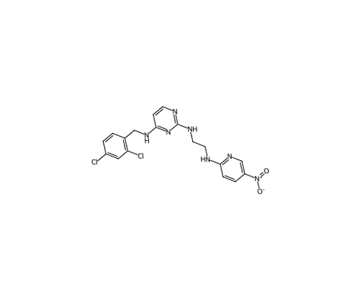 O=[N+]([O-])c1ccc(NCCNc2nccc(NCc3ccc(Cl)cc3Cl)n2)nc1